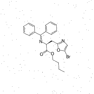 CCCCOC(=O)[C@H](Cc1ncc(Br)o1)N=C(c1ccccc1)c1ccccc1